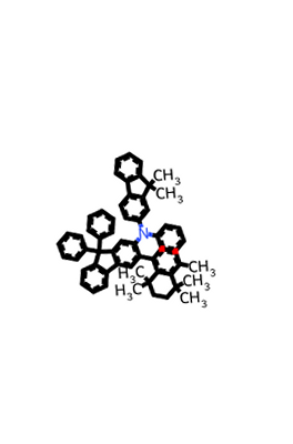 Cc1ccc(-c2cc3c(cc2N(c2ccccc2)c2ccc4c(c2)C(C)(C)c2ccccc2-4)C(c2ccccc2)(c2ccccc2)c2ccccc2-3)c2c1C(C)(C)CCC2(C)C